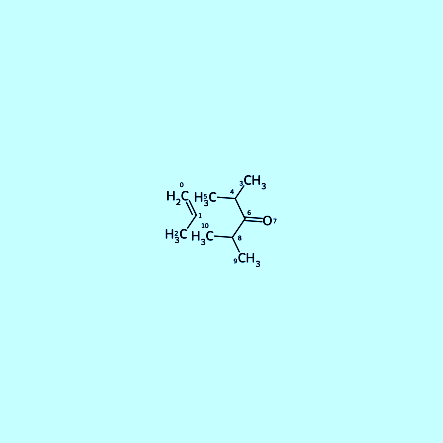 C=CC.CC(C)C(=O)C(C)C